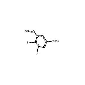 COc1cc(Br)c(I)c(OC)c1